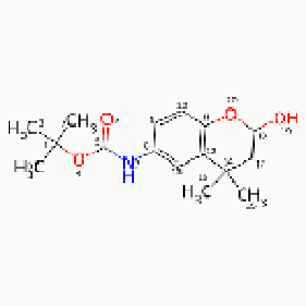 CC(C)(C)OC(=O)Nc1ccc2c(c1)C(C)(C)CC(O)O2